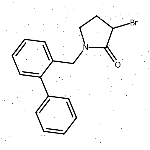 O=C1C(Br)CCN1Cc1ccccc1-c1ccccc1